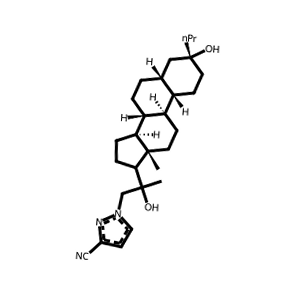 CCC[C@@]1(O)CC[C@H]2[C@H](CC[C@@H]3[C@@H]2CC[C@]2(C)C(C(C)(O)Cn4ccc(C#N)n4)CC[C@@H]32)C1